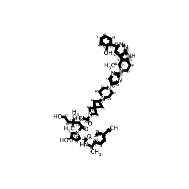 C#Cc1ccc([C@H](C)NC(=O)[C@@H]2C[C@@H](O)CN2C(=O)[C@@H](NC(=O)N2CC3(CC(N4CCN(c5cnc(N6CCc7[nH]c8nnc(-c9ccccc9O)cc8c7[C@H]6C)nc5)CC4)C3)C2)C(C)(C)CCO)cc1